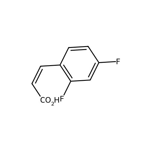 O=C(O)/C=C\c1ccc(F)cc1F